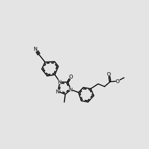 COC(=O)CCc1cccc(-n2c(C)nn(-c3ccc(C#N)cc3)c2=O)c1